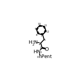 CCCCCNC(=O)[C@@H](N)Cc1ccccc1